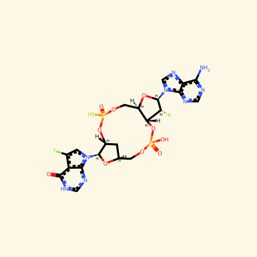 Nc1ncnc2c1ncn2[C@@H]1O[C@@H]2COP(=O)(S)O[C@@H]3C[C@@H](COP(=O)(O)O[C@H]2[C@H]1F)O[C@H]3n1cc(F)c2c(=O)[nH]cnc21